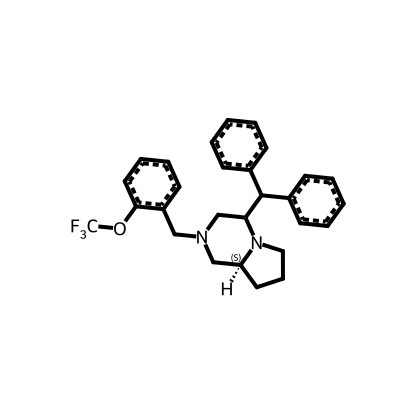 FC(F)(F)Oc1ccccc1CN1CC(C(c2ccccc2)c2ccccc2)N2CCC[C@H]2C1